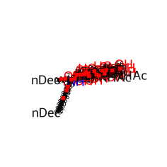 CCCCCCCCCCCCC/C=C/[C@@H](O)[C@H](CO[C@@H]1OC(CO)[C@@H](O[C@@H]2OC(CO)[C@H](O[C@@H]3OC(CO)[C@H](O)[C@H](O[C@@H]4OC(CO)[C@H](O)[C@H](O[C@@H]5OC(CO)[C@H](O)[C@H](O[C@H]6OC(CO)[C@H](O)[C@H](O)C6NC(C)=O)C5O)C4NC(C)=O)C3O)[C@H](O)C2O)[C@H](O)C1O)NC(=O)CCCCCCCCCCCCCCCCCCCCCCCCC